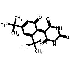 CC(C)(C)C1=CC(=O)C(=C2C(=O)NC(=O)NC2=O)C(C(C)(C)C)=C1